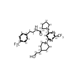 O=C(NCCc1ccc(C(F)(F)F)cc1)[C@@H]1CCCN1c1cc(N2CCC(CCO)CC2)nc(C(F)(F)F)n1